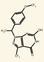 CC(c1ccc(OC(F)(F)F)cc1)n1nc(C(F)(F)F)c2c(=O)[nH]c(O)nc21